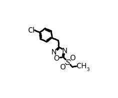 CCS(=O)(=O)c1nc(Cc2ccc(Cl)cc2)no1